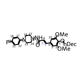 CCCCCCCCCCOc1c(OC)cc(/C=C/C(=O)NN2CCN(c3ccc(F)cc3)CC2)cc1OC